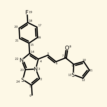 Cc1cn2c(C=CC(=O)c3cccs3)c(-c3ccc(F)cc3)nc2s1